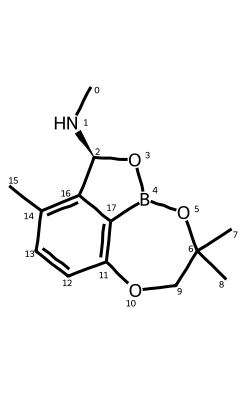 CN[C@H]1OB2OC(C)(C)COc3ccc(C)c1c32